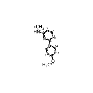 CNc1ccnc(-c2ccc(OC)cc2)n1